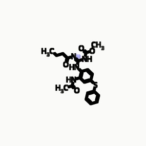 CCCC(=O)/N=C(/NC(=O)OC)Nc1ccc(Sc2ccccc2)cc1NC(C)=O